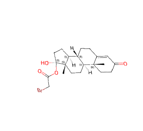 C[C@]12CCC(=O)C=C1CC[C@@H]1[C@@H]2CC[C@@]2(C)[C@H]1CC[C@]2(O)OC(=O)CBr